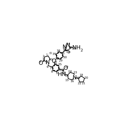 C[C@H]1CC(=O)N(Cc2ccc(C(=O)NC3CCN(C4CCCC4)CC3)cc2Oc2ccc(-c3nnc(N)s3)cc2)C1